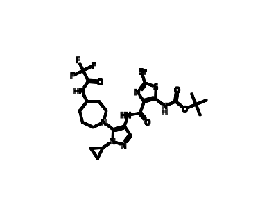 CC(C)(C)OC(=O)Nc1sc(Br)nc1C(=O)Nc1cnn(C2CC2)c1N1CCCC(NC(=O)C(F)(F)F)CC1